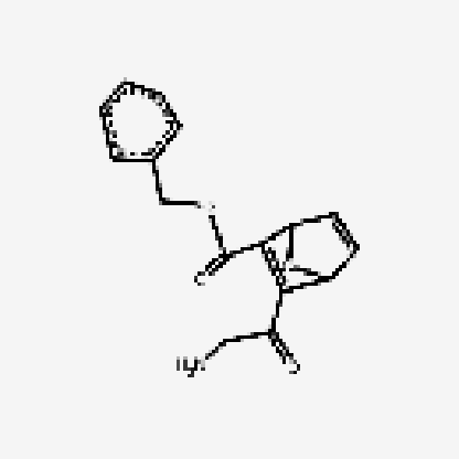 NCC(=O)C1=C(C(=O)OCc2ccccc2)C2C=CC1O2